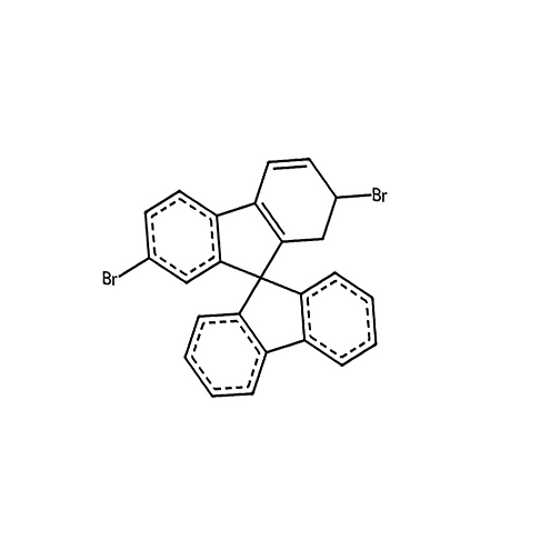 Brc1ccc2c(c1)C1(C3=C2C=CC(Br)C3)c2ccccc2-c2ccccc21